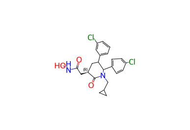 O=C(C[C@H]1CC(c2cccc(Cl)c2)C(c2ccc(Cl)cc2)N(CC2CC2)C1=O)NO